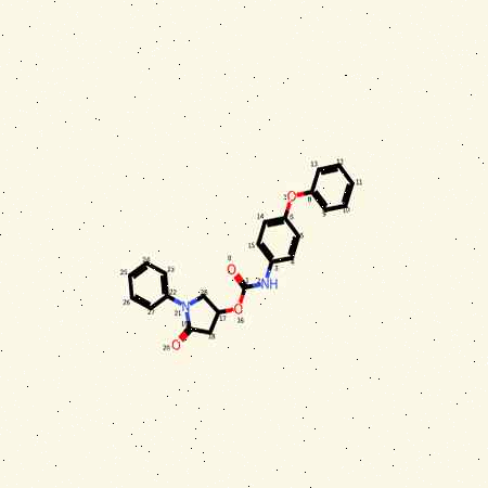 O=C(Nc1ccc(Oc2ccccc2)cc1)OC1CC(=O)N(c2ccccc2)C1